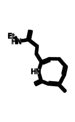 C=C1/C=C(C)\C=C/C/C=C(/CCC(=C)NCC)N1